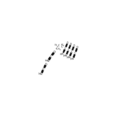 C.C.C.N=C=O.N=C=O.N=C=O.N=C=O.N=C=O.N=C=O